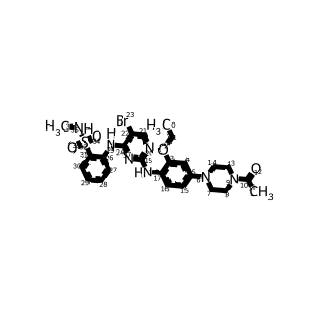 CCOc1cc(N2CCN(C(C)=O)CC2)ccc1Nc1ncc(Br)c(Nc2ccccc2S(=O)(=O)NC)n1